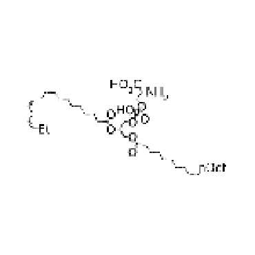 CC/C=C\C/C=C\C/C=C\CCCCCCCC(=O)O[C@H](COC(=O)CCCCCCC/C=C\CCCCCCCC)COP(=O)(O)OC[C@H](N)C(=O)O